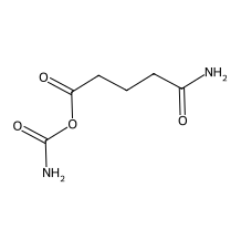 NC(=O)CCCC(=O)OC(N)=O